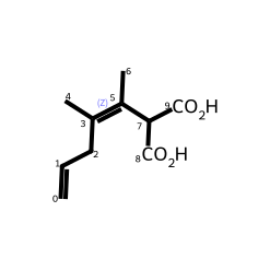 C=CC/C(C)=C(/C)C(C(=O)O)C(=O)O